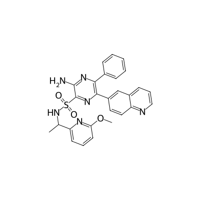 COc1cccc(C(C)NS(=O)(=O)c2nc(-c3ccc4ncccc4c3)c(-c3ccccc3)nc2N)n1